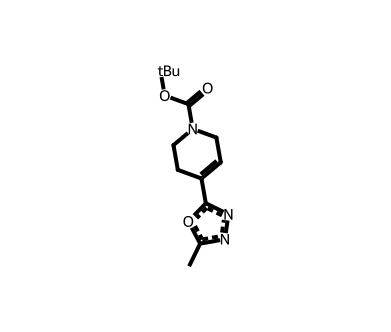 Cc1nnc(C2=CCN(C(=O)OC(C)(C)C)CC2)o1